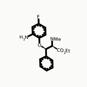 CCOC(=O)[C@H](NC)[C@H](Oc1ccc(F)cc1N)c1ccccc1